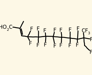 CC(=CC(F)(F)C(F)(F)C(F)(F)C(F)(F)C(F)(F)C(F)(F)C(F)(F)C(F)(CF)C(F)(F)F)C(=O)O